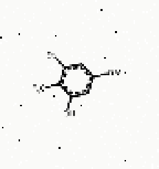 CCc1cc(OC)cc(O)c1C(F)(F)F